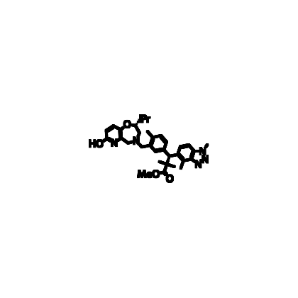 COC(=O)C(C)(C)[C@@H](c1ccc(C)c(CN2Cc3nc(O)ccc3O[C@H](C(C)C)C2)c1)c1ccc2c(nnn2C)c1C